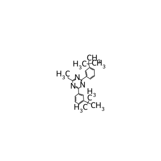 CCc1nc(-c2cccc(C(C)(C)C)c2)nc(-c2cccc(C(C)(C)C)c2)n1